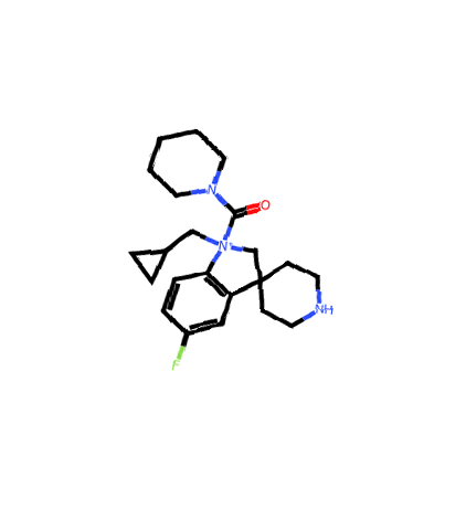 O=C(N1CCCCC1)[N+]1(CC2CC2)CC2(CCNCC2)c2cc(F)ccc21